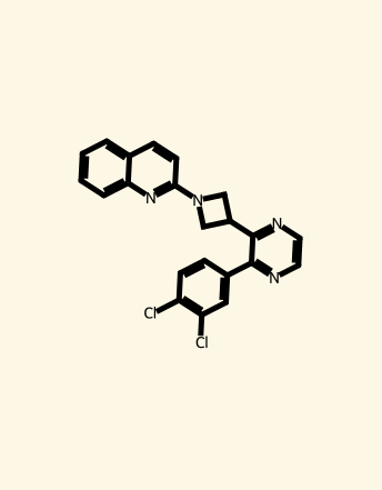 Clc1ccc(-c2nccnc2C2CN(c3ccc4ccccc4n3)C2)cc1Cl